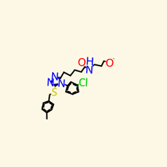 COCCCNC(=O)CCCCc1nnc(SCc2ccc(C)cc2)n1-c1cccc(Cl)c1